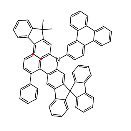 CC1(C)c2ccccc2-c2ccc(N(c3ccc4c5ccccc5c5ccccc5c4c3)c3cc4c(cc3-c3ccccc3-c3ccccc3)-c3ccccc3C43c4ccccc4-c4ccccc43)cc21